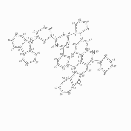 c1ccc(-c2cc(-c3cccc(-n4c5ccccc5c5ccccc54)c3)nc(-c3cccc(-c4c5c(cc6c(-c7ccccc7)nc7ccccc7c46)oc4ccccc45)c3)n2)cc1